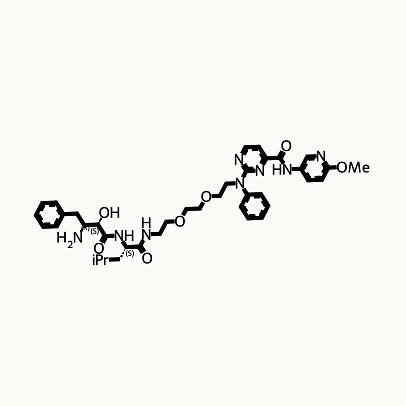 COc1ccc(NC(=O)c2ccnc(N(CCOCCOCCNC(=O)[C@H](CC(C)C)NC(=O)[C@@H](O)[C@H](N)Cc3ccccc3)c3ccccc3)n2)cn1